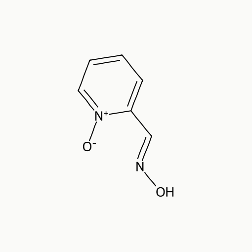 [O-][n+]1ccccc1C=NO